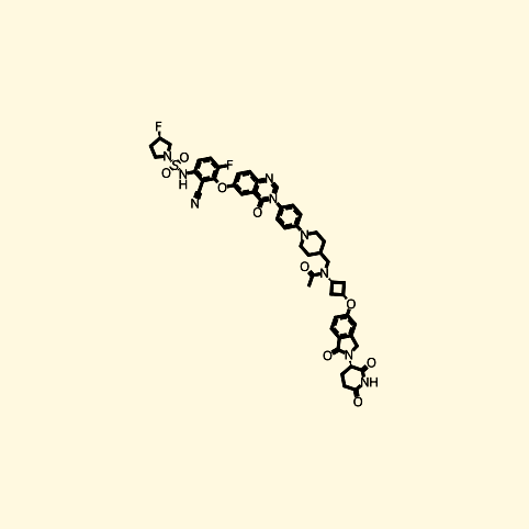 CC(=O)N(CC1CCN(c2ccc(-n3cnc4ccc(Oc5c(F)ccc(NS(=O)(=O)N6CC[C@@H](F)C6)c5C#N)cc4c3=O)cc2)CC1)[C@H]1C[C@H](Oc2ccc3c(c2)CN([C@H]2CCC(=O)NC2=O)C3=O)C1